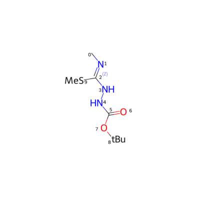 C/N=C(/NNC(=O)OC(C)(C)C)SC